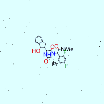 CNC(=O)[C@@H](c1ccc(F)cc1F)N1C(=O)C([C@@H]2Cc3ccccc3C2O)NC(=O)[C@H]1CC(C)C